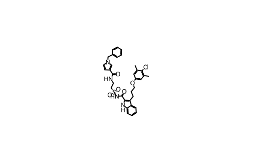 Cc1cc(OCCCc2c(C(=O)NS(=O)(=O)CCNC(=O)c3ccn(Cc4ccccc4)c3)[nH]c3ccccc23)cc(C)c1Cl